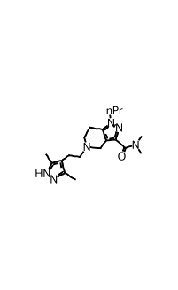 CCCn1nc(C(=O)N(C)C)c2c1CCN(CCc1c(C)n[nH]c1C)C2